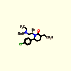 CC[C@@H](CN(CC(F)(F)F)SC)N1C(=O)C(CC(=O)O)CCC1c1ccc(Cl)cc1